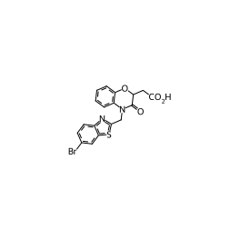 O=C(O)CC1Oc2ccccc2N(Cc2nc3ccc(Br)cc3s2)C1=O